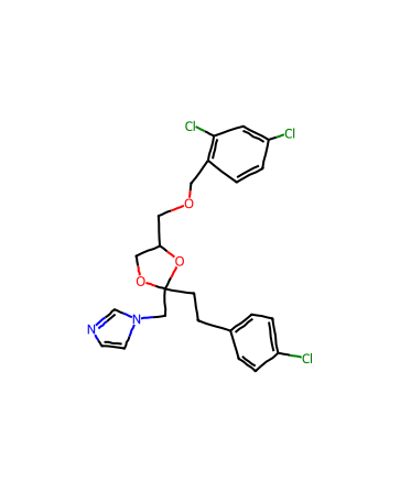 Clc1ccc(CCC2(Cn3ccnc3)OCC(COCc3ccc(Cl)cc3Cl)O2)cc1